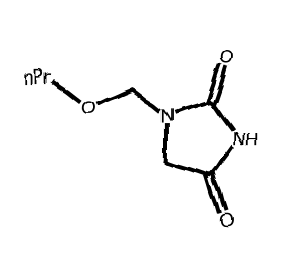 CCCOCN1CC(=O)NC1=O